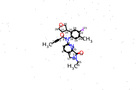 CC#CC(=O)N(c1ccc2c(n1)C(=O)N(CC)C2)c1cc(C)c(I)cc1C1CCOC1